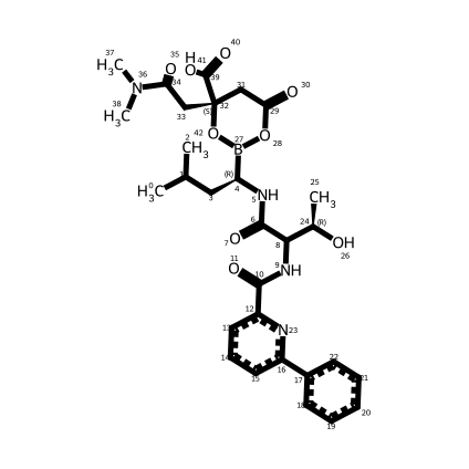 CC(C)C[C@H](NC(=O)C(NC(=O)c1cccc(-c2ccccc2)n1)[C@@H](C)O)B1OC(=O)C[C@@](CC(=O)N(C)C)(C(=O)O)O1